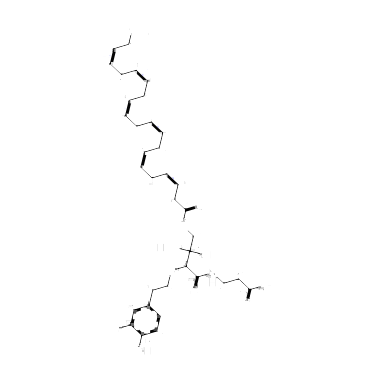 CC/C=C\C/C=C\C/C=C\C/C=C\C/C=C\C/C=C\CC(=O)OCC(C)(C)C(OCCc1ccc(O)c(O)c1)C(=O)NCCC(=O)O